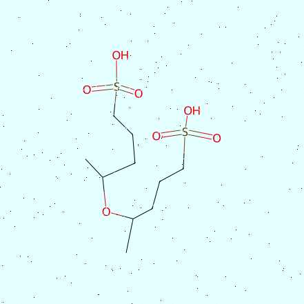 CC(CCCS(=O)(=O)O)OC(C)CCCS(=O)(=O)O